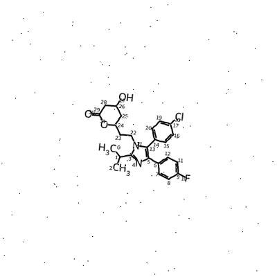 CC(C)c1nc(-c2ccc(F)cc2)c(-c2ccc(Cl)cc2)n1CCC1CC(O)CC(=O)O1